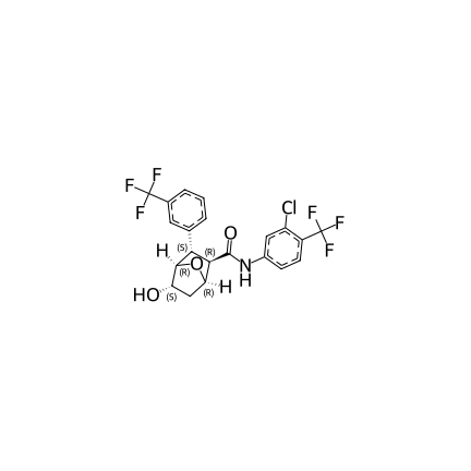 O=C(Nc1ccc(C(F)(F)F)c(Cl)c1)[C@@H]1[C@@H](c2cccc(C(F)(F)F)c2)[C@H]2O[C@@H]1C[C@@H]2O